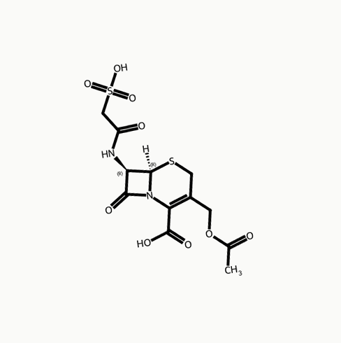 CC(=O)OCC1=C(C(=O)O)N2C(=O)[C@@H](NC(=O)CS(=O)(=O)O)[C@H]2SC1